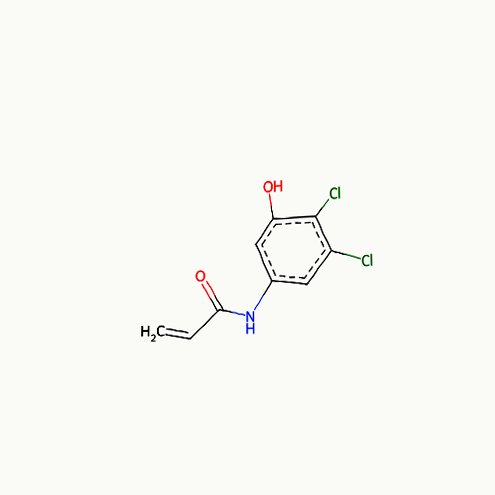 C=CC(=O)Nc1cc(O)c(Cl)c(Cl)c1